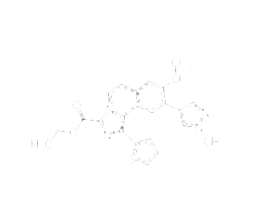 CCOC(=O)c1nc(-c2cccs2)c2c3cc(-c4cnn(C)c4)c(OC)cc3ccn12